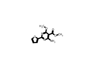 COC(=O)c1c(N)nc(-c2ccco2)nc1OC